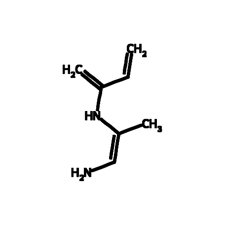 C=CC(=C)N/C(C)=C\N